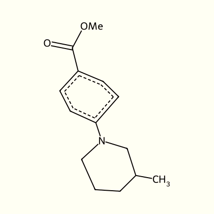 COC(=O)c1ccc(N2CCCC(C)C2)cc1